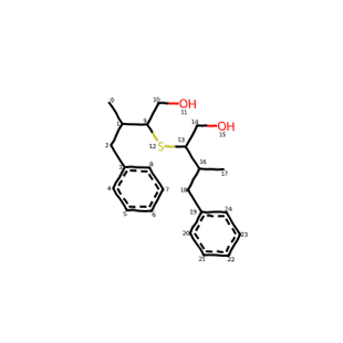 CC(Cc1ccccc1)C(CO)SC(CO)C(C)Cc1ccccc1